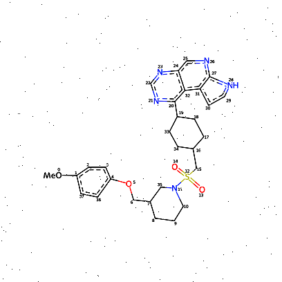 COc1ccc(OCC2CCCN(S(=O)(=O)CC3CCC(c4ncnc5cnc6[nH]ccc6c45)CC3)C2)cc1